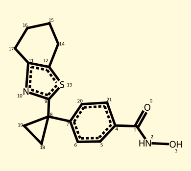 O=C(NO)c1ccc(C2(c3nc4c(s3)CCCC4)CC2)cc1